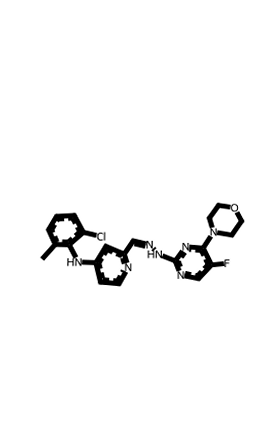 Cc1cccc(Cl)c1Nc1ccnc(/C=N\Nc2ncc(F)c(N3CCOCC3)n2)c1